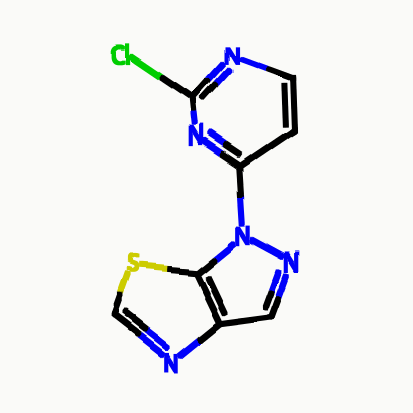 Clc1nccc(-n2ncc3ncsc32)n1